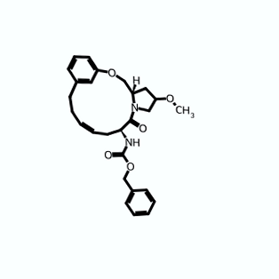 COC1C[C@H]2COc3cccc(c3)CCC=CC[C@H](NC(=O)OCc3ccccc3)C(=O)N2C1